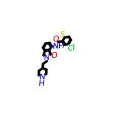 O=C(Nc1cccc2c1C(=O)N(CCC1CCNCC1)C2)C1=CC(Cl)=CCC1=S